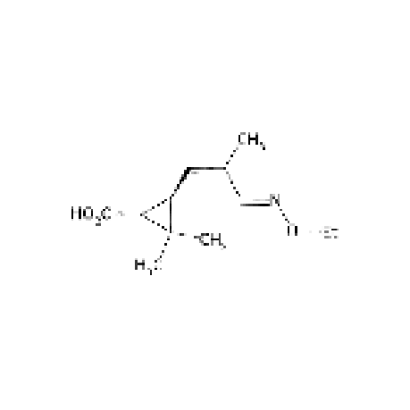 CCO/N=C/C(C)=C[C@@H]1[C@@H](C(=O)O)C1(C)C